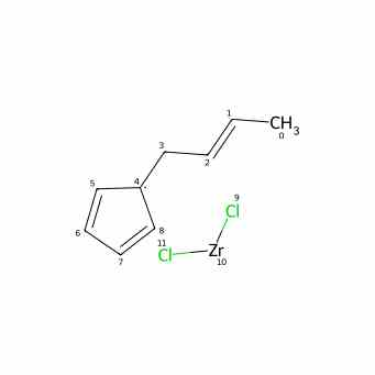 CC=CC[C]1C=CC=C1.[Cl][Zr][Cl]